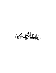 CC(C)NCc1ccc(NCC(C)(C)C)nc1